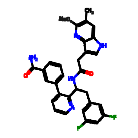 COc1nc2c(CC(=O)NC(Cc3cc(F)cc(F)c3)c3ncccc3-c3cccc(C(N)=O)c3)c[nH]c2cc1C